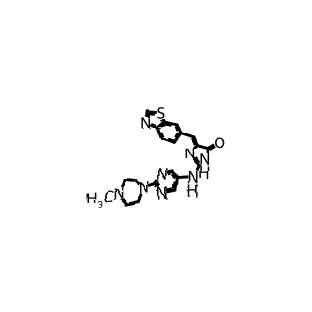 CN1CCN(c2ncc(NC3=N/C(=C\c4ccc5ncsc5c4)C(=O)N3)cn2)CC1